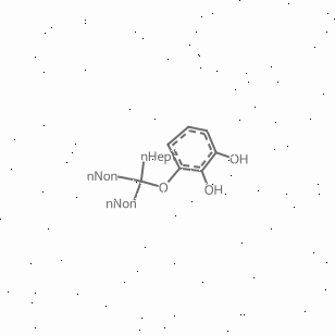 CCCCCCCCCC(CCCCCCC)(CCCCCCCCC)Oc1cccc(O)c1O